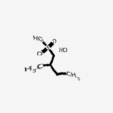 CCC(C)CS(=O)(=O)O.Cl